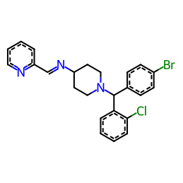 Clc1ccccc1C(c1ccc(Br)cc1)N1CCC(/N=C/c2ccccn2)CC1